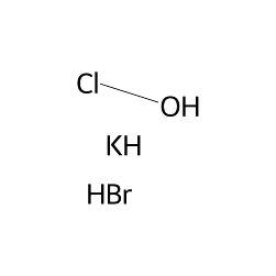 Br.OCl.[KH]